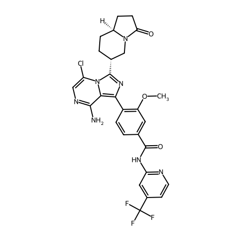 COc1cc(C(=O)Nc2cc(C(F)(F)F)ccn2)ccc1-c1nc([C@@H]2CC[C@H]3CCC(=O)N3C2)n2c(Cl)cnc(N)c12